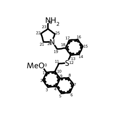 COc1ccc2ccccc2c1CSc1ccccc1CN1CCC(N)C1